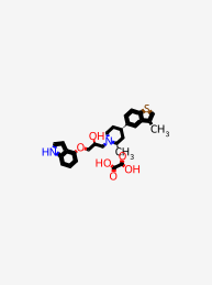 Cc1csc2ccc([C@H]3CCN(C[C@H](O)COc4cccc5[nH]ccc45)[C@@H](C)C3)cc12.O=C(O)C(=O)O